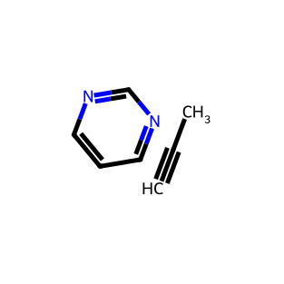 C#CC.c1cncnc1